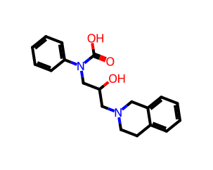 O=C(O)N(CC(O)CN1CCc2ccccc2C1)c1ccccc1